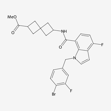 COC(=O)C1CC2(CC(NC(=O)c3ccc(F)c4ccn(Cc5ccc(Br)c(F)c5)c34)C2)C1